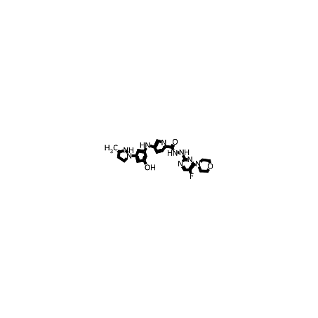 CC1CCN(c2cc(O)cc(Nc3ccc(C(=O)NNc4ncc(F)c(N5CCOCC5)n4)nc3)c2)N1